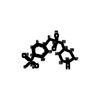 CS(=O)(=O)c1ccc(CS(=O)(=O)CC2CCNCC2)cc1